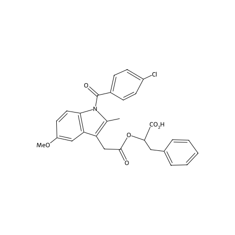 COc1ccc2c(c1)c(CC(=O)OC(Cc1ccccc1)C(=O)O)c(C)n2C(=O)c1ccc(Cl)cc1